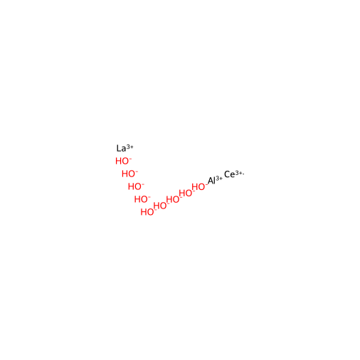 [Al+3].[Ce+3].[La+3].[OH-].[OH-].[OH-].[OH-].[OH-].[OH-].[OH-].[OH-].[OH-]